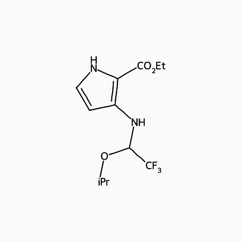 CCOC(=O)c1[nH]ccc1NC(OC(C)C)C(F)(F)F